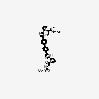 COC(=O)NCC(=O)N1CCC[C@H]1c1ncc(-c2ccc(-c3ccc(-c4cnc([C@@H]5CCCN5C(=O)C(NC(C)=O)C(C)C)[nH]4)cc3)cc2)[nH]1